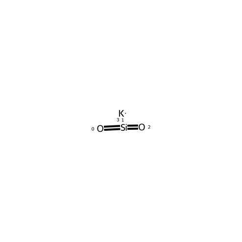 O=[Si]=O.[K]